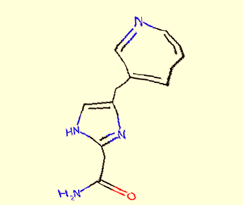 NC(=O)c1nc(-c2cccnc2)c[nH]1